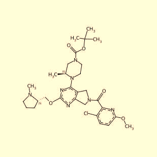 COc1ccc(Cl)c(C(=O)N2Cc3nc(OC[C@@H]4CCCN4C)nc(N4CCN(C(=O)OC(C)(C)C)C[C@@H]4C)c3C2)n1